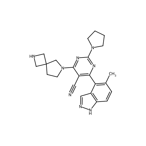 Cc1ccc2[nH]ncc2c1-c1nc(N2CCCC2)nc(N2CCC3(CNC3)C2)c1C#N